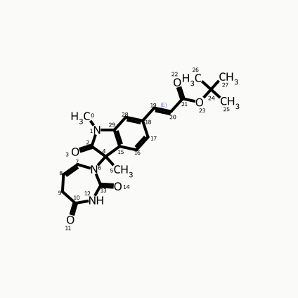 CN1C(=O)C(C)(N2C=CCC(=O)NC2=O)c2ccc(/C=C/C(=O)OC(C)(C)C)cc21